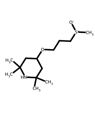 C[S+]([O-])CCCOC1CC(C)(C)NC(C)(C)C1